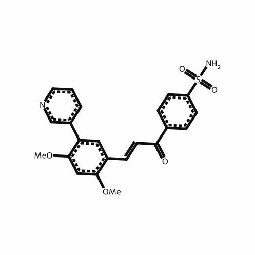 COc1cc(OC)c(-c2cccnc2)cc1/C=C/C(=O)c1ccc(S(N)(=O)=O)cc1